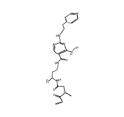 C=CC(=O)N(C)CC(=O)NC(CC)CCNC(=O)c1cnc(NCCc2ccncc2)nc1NCCC